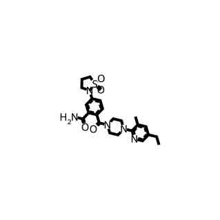 CCc1cnc(N2CCN(C(=O)c3ccc(N4CCCS4(=O)=O)cc3C(N)=O)CC2)c(C)c1